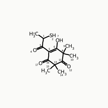 CC(S)C(=O)C1=C(O)C(C)(C)C(=O)C(C)(C)C1=O